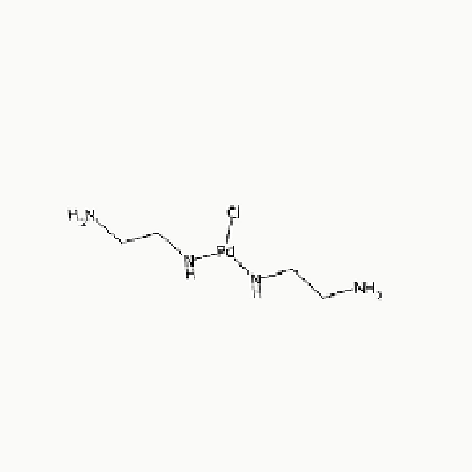 NCC[NH][Pd]([Cl])[NH]CCN